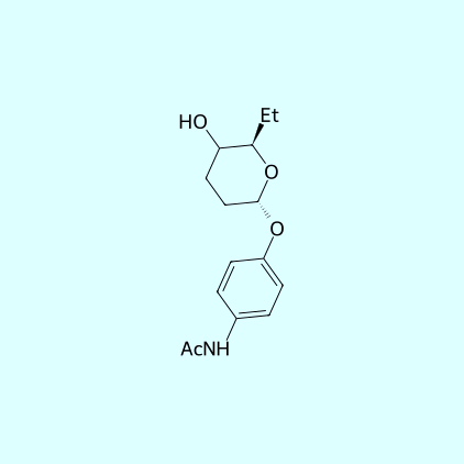 CC[C@H]1O[C@H](Oc2ccc(NC(C)=O)cc2)CCC1O